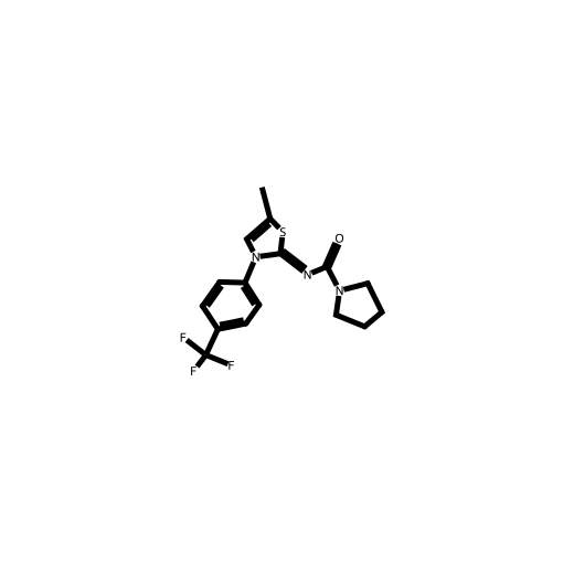 Cc1cn(-c2ccc(C(F)(F)F)cc2)c(=NC(=O)N2CCCC2)s1